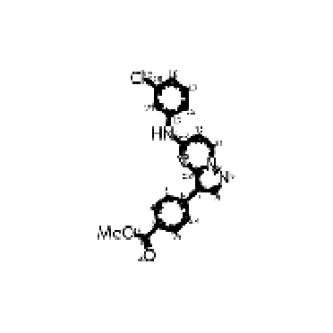 COC(=O)c1ccc(-c2cnn3ccc(Nc4cccc(Cl)c4)nc23)cc1